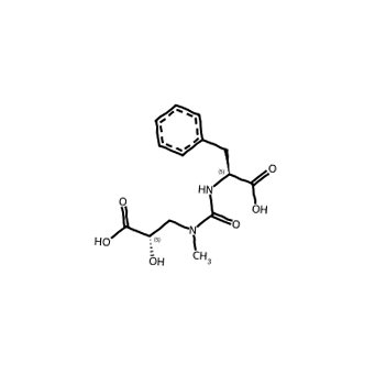 CN(C[C@H](O)C(=O)O)C(=O)N[C@@H](Cc1ccccc1)C(=O)O